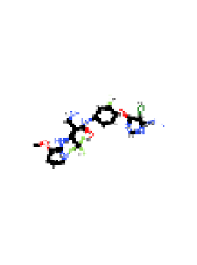 COc1cccnc1N/C(=C(\C=N)C(=O)Nc1ccc(Oc2ncnc(N)c2Cl)c(F)c1)C(F)(F)F